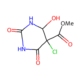 COC(=O)C1(Cl)C(=O)NC(=O)NC1O